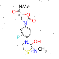 C/N=C1/SCCN(c2ccc(N3C[C@H](C(=O)NC)OC3=O)cc2F)C1O